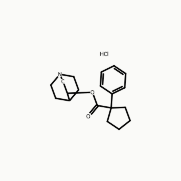 Cl.O=C(OC1CN2CCC1CC2)C1(c2ccccc2)CCCC1